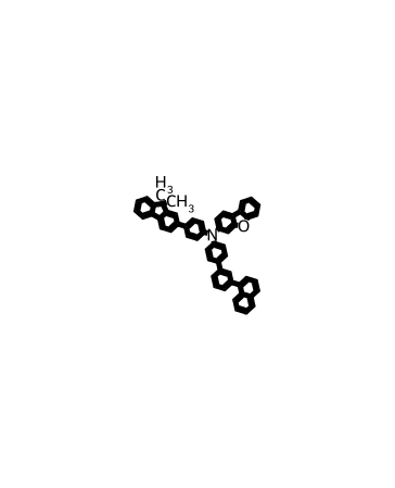 CC1(C)c2ccccc2-c2ccc(-c3ccc(N(c4ccc(-c5cccc(-c6cccc7ccccc67)c5)cc4)c4ccc5c(c4)oc4ccccc45)cc3)cc21